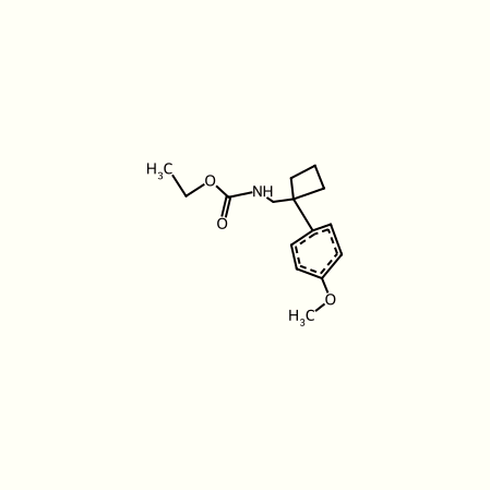 CCOC(=O)NCC1(c2ccc(OC)cc2)CCC1